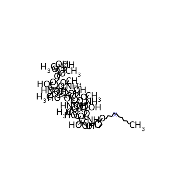 CCCCCC/C=C\CCCOc1cccc(C(=O)NC2[C@H](O[C@H]3C(O)C(NC(C)=O)[C@H](OC4C(CO)O[C@@H](O[C@H]5C(O)C(NC(C)=O)[C@H](OC6C(CO[C@@H]7OC(C)[C@@H](O)C(O)[C@H]7OC)OC(O)[C@@H](NC(C)=O)[C@H]6O)O[C@H]5CO)[C@@H](NC(C)=O)[C@H]4O)O[C@H]3CO)OC(CO)[C@@H](O)[C@@H]2O)c1